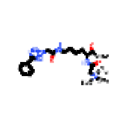 COC(=O)C(CCCCNC(=O)Cn1nnc(-c2ccccc2)n1)NC(=O)C[N+](C)(C)C